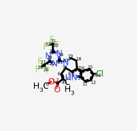 COC(=O)/C(C)=C/C1c2[nH]c3ccc(Cl)cc3c2CCN1c1nc(C(F)(F)F)nc(C(F)(F)F)n1